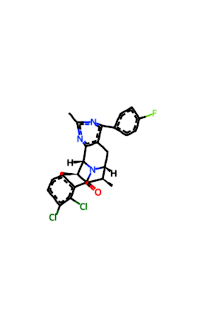 Cc1nc(-c2ccc(F)cc2)c2c(n1)[C@H]1[C@H](C)C[C@H](C)[C@@H](C2)N1C(=O)c1cccc(Cl)c1Cl